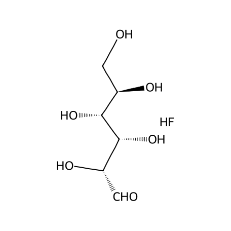 F.O=C[C@H](O)[C@@H](O)[C@H](O)[C@H](O)CO